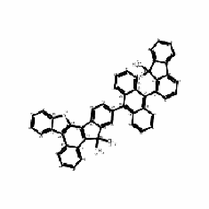 CC1(C)c2ccccc2-c2cccc(-c3c4ccccc4c(-c4ccc5c(c4)C(C)(C)c4c-5c5sc6ccccc6c5c5ccccc45)c4ccccc34)c21